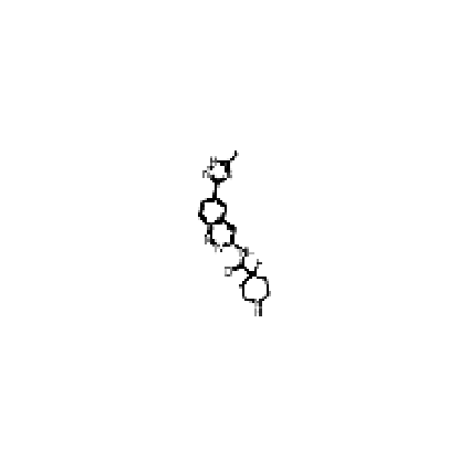 Cc1nnc(-c2ccc3nnc(NC(=O)C4(F)CCNCC4)cc3c2)s1